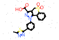 Cc1nnc(-c2cccc(-n3nc(C(=O)O)c4c3-c3ccccc3S(=O)(=O)C4)c2)s1